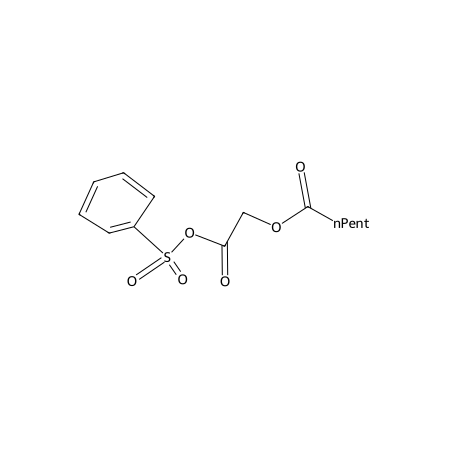 CCCCCC(=O)OCC(=O)OS(=O)(=O)c1ccccc1